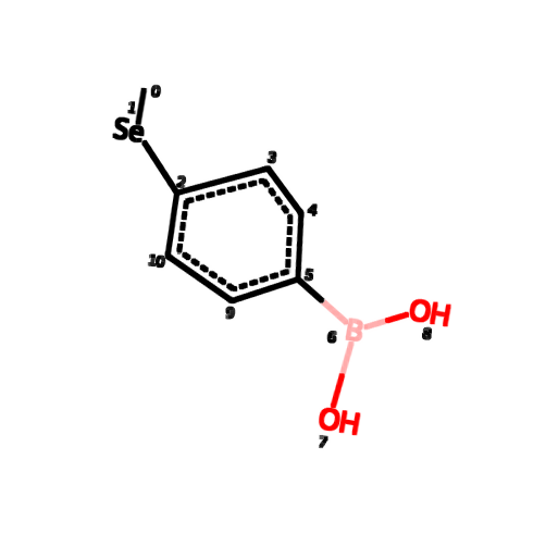 C[Se]c1ccc(B(O)O)cc1